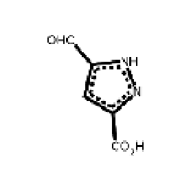 O=Cc1cc(C(=O)O)n[nH]1